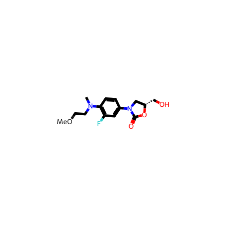 COCCN(C)c1ccc(N2C[C@H](CO)OC2=O)cc1F